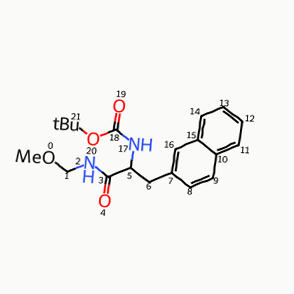 COCNC(=O)C(Cc1ccc2ccccc2c1)NC(=O)OC(C)(C)C